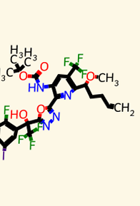 C=CCCC(OC)c1nc(-c2nnc(C(O)(c3cc(I)ccc3F)C(F)(F)F)o2)c(NC(=O)OC(C)(C)C)cc1C(F)(F)F